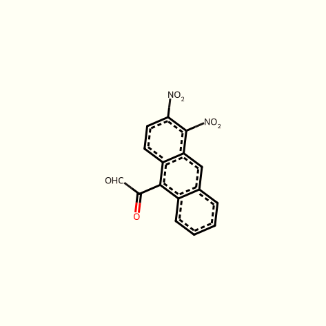 O=CC(=O)c1c2ccccc2cc2c([N+](=O)[O-])c([N+](=O)[O-])ccc12